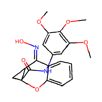 COc1cc(NC(=O)C23CC2C(=NO)c2ccccc2O3)cc(OC)c1OC